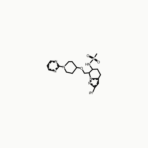 CC(C)c1cc2n(n1)C(COC1CCN(c3ncccn3)CC1)C(NS(C)(=O)=O)CC2